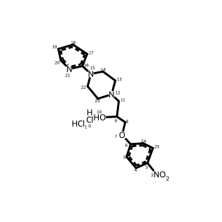 Cl.Cl.O=[N+]([O-])c1ccc(OCC(O)CN2CCN(c3ccccn3)CC2)cc1